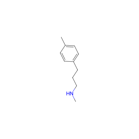 CNCCCc1ccc(C)cc1